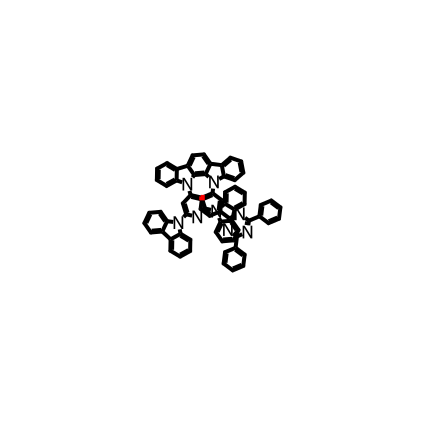 c1ccc(-c2nc(-c3ccccc3)nc(-c3cccc(-n4c5ccccc5c5ccc6c7ccccc7n(-c7cc(-n8c9ccccc9c9ccccc98)nc(-n8c9ccccc9c9ccccc98)c7)c6c54)c3)n2)cc1